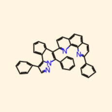 c1ccc(-c2ccc3ccc4ccc(-c5c(-c6ccccc6)n6ncc(-c7ccccc7)c6c6ccccc56)nc4c3n2)cc1